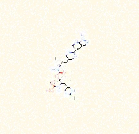 CC(C)(CCc1cnc(-c2cnc3[nH]ncc3c2)nc1)NC(=O)OC(C)(C)C(Cc1cnc(Cl)nc1)NC(=O)O